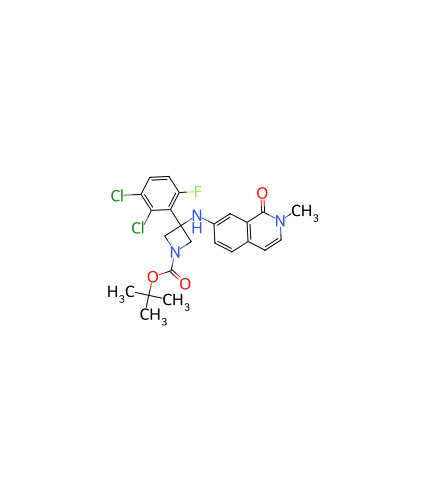 Cn1ccc2ccc(NC3(c4c(F)ccc(Cl)c4Cl)CN(C(=O)OC(C)(C)C)C3)cc2c1=O